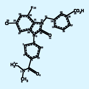 CN(C)C(=O)c1ccc(-n2c(=O)n(Cc3cccc(C(=O)O)c3)c3c(F)cc(Cl)cc32)cc1